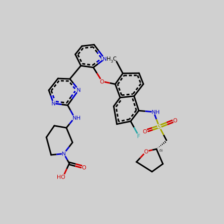 Cc1ccc2c(NS(=O)(=O)C[C@@H]3CCCO3)c(F)ccc2c1Oc1ncccc1-c1ccnc(NC2CCCN(C(=O)O)C2)n1